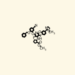 CCOC(=O)C1CCCC1Nc1c(F)c(Oc2cccc(C3=NCCN3C)c2)nc(Oc2cc(C#N)ccc2OCc2ccccc2)c1F